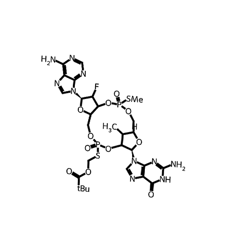 CSP1(=O)OC[C@H]2O[C@@H](n3cnc4c(=O)[nH]c(N)nc43)C(OP(=O)(SCOC(=O)C(C)(C)C)OCC3O[C@@H](n4cnc5c(N)ncnc54)C(F)C3O1)C2C